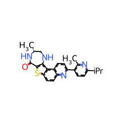 Cc1nc(C(C)C)ccc1-c1ccc2c(ccc3sc4c(c32)NC[C@@H](C)NC4=O)n1